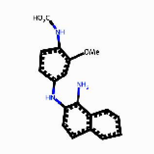 COc1cc(Nc2ccc3ccccc3c2N)ccc1NC(=O)O